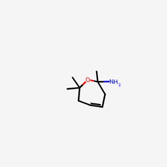 CC1(C)CC=CCC(C)(N)O1